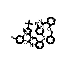 CC(C)(C)c1cc(N(Cc2ccccc2Sc2ccc3nnc(-c4ccccc4OCc4ccccc4)n3c2)C(N)=O)n(-c2cccc(F)c2)n1